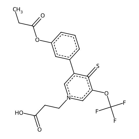 CCC(=O)Oc1cccc(-c2cn(CCC(=O)O)cc(OC(F)(F)F)c2=S)c1